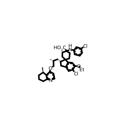 CCOc1cc2c(cc1Cl)C[C@H](C[C@@H](C)COc1ccnc3c1[C@H](C)CCC3)C21CCC(Nc2cccc(Cl)c2)(C(=O)O)CC1